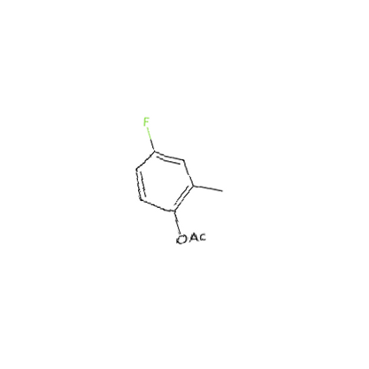 CC(=O)Oc1ccc(F)cc1C